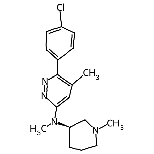 Cc1cc(N(C)[C@@H]2CCCN(C)C2)nnc1-c1ccc(Cl)cc1